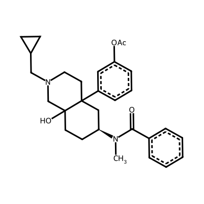 CC(=O)Oc1cccc(C23CCN(CC4CC4)CC2(O)CC[C@H](N(C)C(=O)c2ccccc2)C3)c1